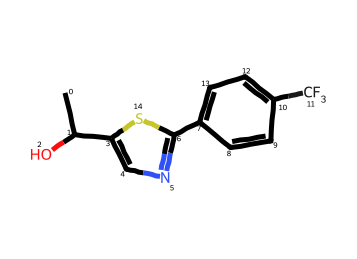 CC(O)c1cnc(-c2ccc(C(F)(F)F)cc2)s1